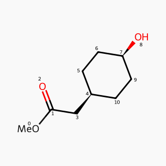 COC(=O)C[C@H]1CC[C@@H](O)CC1